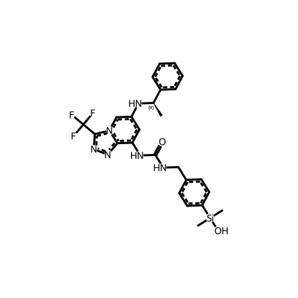 C[C@@H](Nc1cc(NC(=O)NCc2ccc([Si](C)(C)O)cc2)c2nnc(C(F)(F)F)n2c1)c1ccccc1